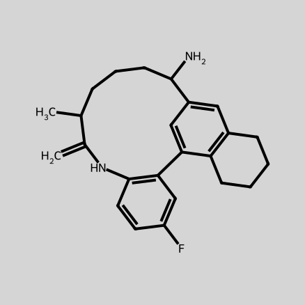 C=C1Nc2ccc(F)cc2-c2cc(cc3c2CCCC3)C(N)CCCC1C